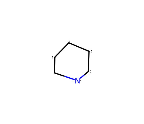 [C]1[C][C][N]C[C]1